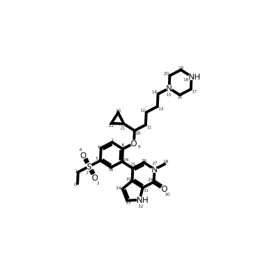 CCS(=O)(=O)c1ccc(OC(CCCCN2CCNCC2)C2CC2)c(-c2cn(C)c(=O)c3[nH]ccc23)c1